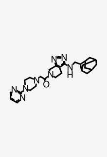 O=C(CN1CCN(c2ncccn2)CC1)N1CCc2c(ncnc2NCC2C3CC4CC(C3)CC2C4)C1